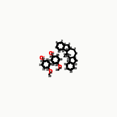 C1=C2CCC3=Cc4ccccc4[CH]3[Zr+2][CH]2c2ccccc21.COc1ccc([O-])cc1.COc1ccc([O-])cc1